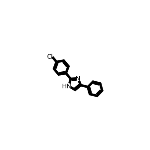 Clc1ccc(-c2nc(-c3ccccc3)c[nH]2)cc1